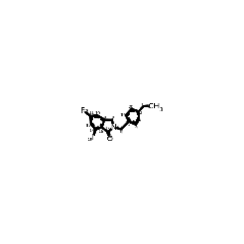 CCc1ccc(CN2Cc3cc(F)cc(I)c3C2=O)cc1